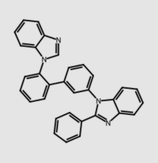 c1ccc(-c2nc3ccccc3n2-c2cccc(-c3ccccc3-n3cnc4ccccc43)c2)cc1